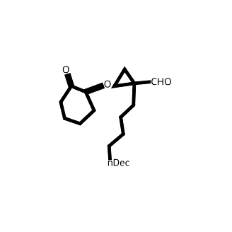 CCCCCCCCCCCCCCC1(C=O)CC1.O=C1CCCCC1=O